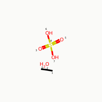 CC.O.O=S(=O)(O)O